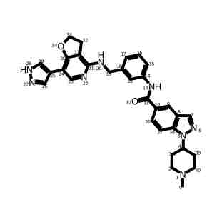 CN1CCC(n2ncc3cc(C(=O)Nc4cccc(CNc5ncc(-c6cn[nH]c6)c6c5CCO6)c4)ccc32)CC1